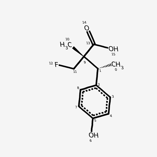 C[C@H](c1ccc(O)cc1)[C@](C)(CF)C(=O)O